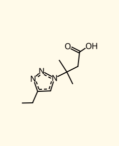 CCc1cn(C(C)(C)CC(=O)O)nn1